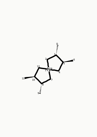 C[C@H]1C[N+]2(C[C@@H]1C)C[C@H](C)[C@@H](C)C2